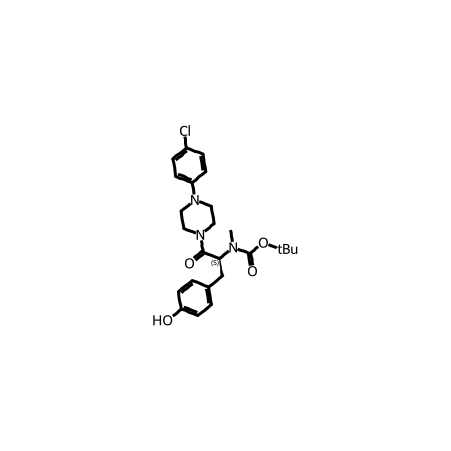 CN(C(=O)OC(C)(C)C)[C@@H](Cc1ccc(O)cc1)C(=O)N1CCN(c2ccc(Cl)cc2)CC1